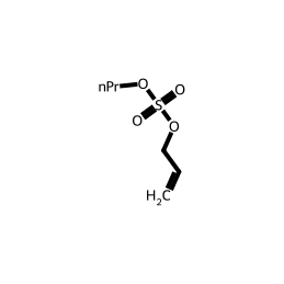 C=CCOS(=O)(=O)OCCC